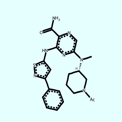 CC(=O)N1CCC[C@H](N(C)c2cnc(C(N)=O)c(Nc3cc(-c4ccccc4)ns3)n2)C1